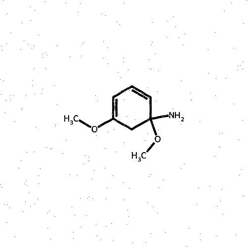 COC1=CC=CC(N)(OC)C1